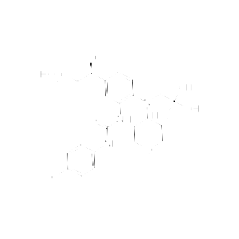 CC[C@H](CC(=O)O)c1ccc(N(CC(C)(C)O)C2CCOCC2)c(NC(=O)Nc2ccc(C)cc2)c1